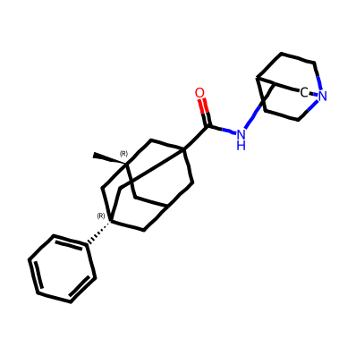 C[C@]12CC3CC(C(=O)NC4CN5CCC4CC5)(C1)C[C@@](c1ccccc1)(C3)C2